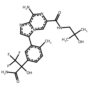 Cc1ccc(C(O)(C(N)=O)C(F)(F)F)cc1-c1cnc2c(N)nc(C(=O)NCC(C)(C)O)cn12